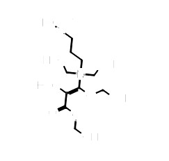 CCOC(=O)C(C)=C(OCC)[N+](CC)(CC)CCCS(=O)(=O)O